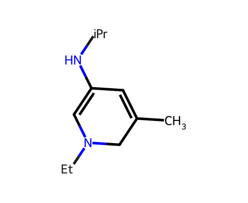 CCN1C=C(NC(C)C)C=C(C)C1